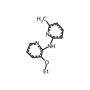 CCOc1cccnc1Nc1cccc(C)n1